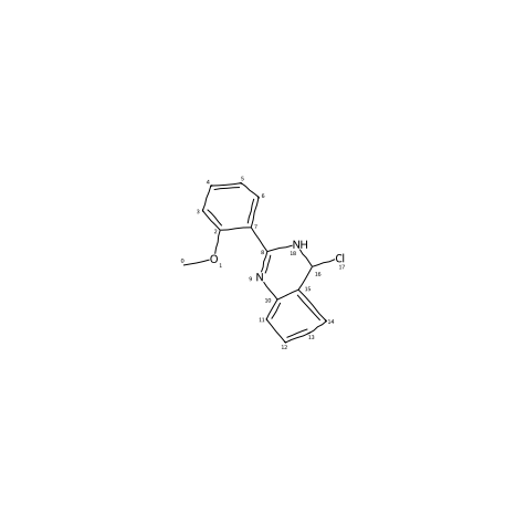 COc1ccccc1C1=Nc2ccccc2C(Cl)N1